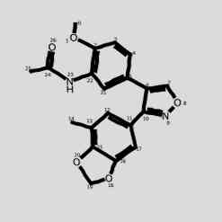 COc1ccc(-c2conc2-c2cc(C)c3c(c2)OCO3)cc1NC(C)=O